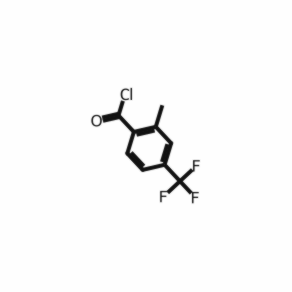 Cc1cc(C(F)(F)F)ccc1C(=O)Cl